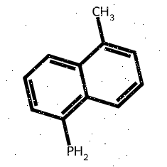 Cc1cccc2c(P)cccc12